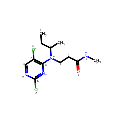 CCC(C)N(CCC(=O)NC)c1nc(Cl)ncc1Br